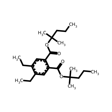 CCCC(C)(C)OC(=O)c1cc(CC)c(CC)cc1C(=O)OC(C)(C)CCC